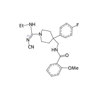 CCN/C(=N/C#N)N1CCC(CNC(=O)c2ccccc2OC)(c2ccc(F)cc2)CC1